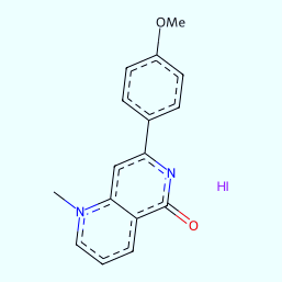 COc1ccc(-c2cc3n(C)cccc-3c(=O)n2)cc1.I